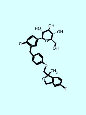 CC1(COc2ccc(Cc3cc([C@@H]4O[C@H](CO)[C@@H](O)[C@H](O)[C@H]4O)ccc3Cl)cc2)OCc2cc(F)ccc21